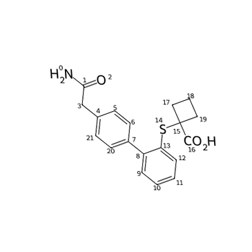 NC(=O)Cc1ccc(-c2ccccc2SC2(C(=O)O)CCC2)cc1